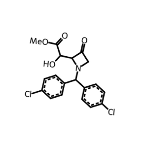 COC(=O)C(O)C1C(=O)CN1C(c1ccc(Cl)cc1)c1ccc(Cl)cc1